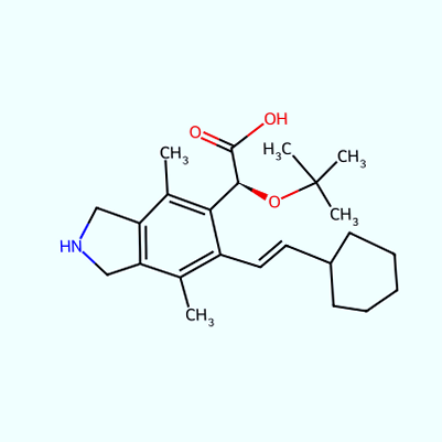 Cc1c(/C=C/C2CCCCC2)c([C@H](OC(C)(C)C)C(=O)O)c(C)c2c1CNC2